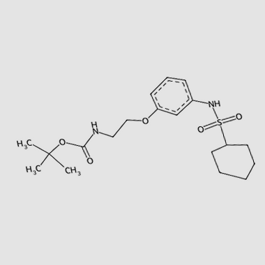 CC(C)(C)OC(=O)NCCOc1cccc(NS(=O)(=O)C2CCCCC2)c1